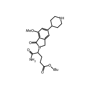 COc1cc(C2CCNCC2)cc2c1C(=O)N(C(CCC(=O)OC(C)(C)C)C(N)=O)C2